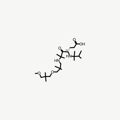 COCC(C)(C)COCC(C)(C)CNC(C)(C)C(=O)[C@H](CCC(=O)O)NC(C)(C)C(C)C